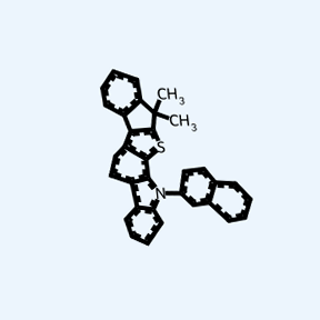 CC1(C)c2ccccc2-c2c1sc1c2ccc2c3ccccc3n(-c3ccc4ccccc4c3)c21